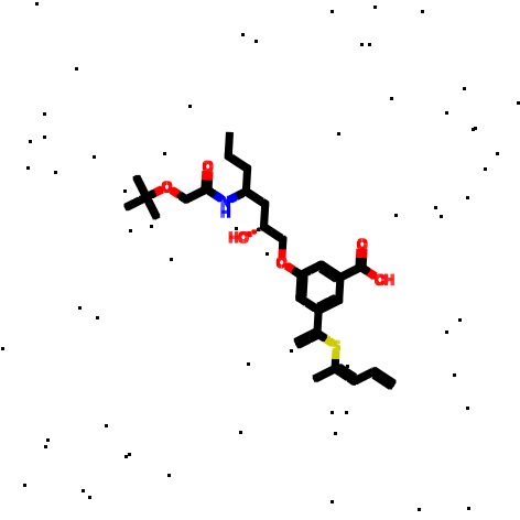 C=C/C=C(/C)SC(=C)c1cc(OC[C@H](O)CC(CCC)NC(=O)COC(C)(C)C)cc(C(=O)O)c1